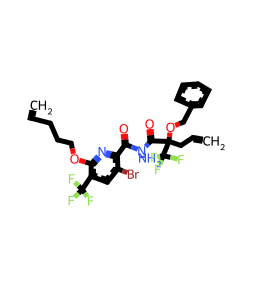 C=CCCCOc1nc(C(=O)N(N)C(=O)C(CC=C)(OCc2ccccc2)C(F)(F)F)c(Br)cc1C(F)(F)F